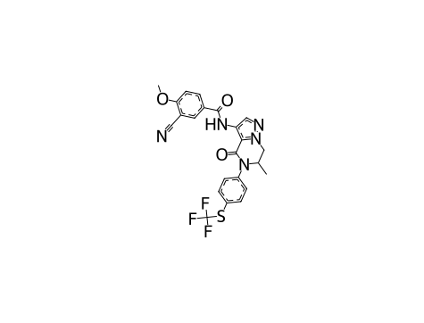 COc1ccc(C(=O)Nc2cnn3c2C(=O)N(c2ccc(SC(F)(F)F)cc2)C(C)C3)cc1C#N